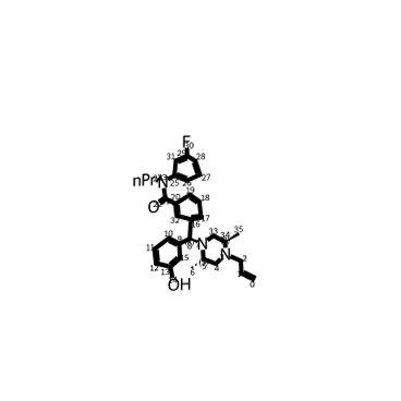 C=CCN1C[C@H](C)N([C@@H](c2cccc(O)c2)c2cccc(C(=O)N(CCC)c3cccc(F)c3)c2)C[C@H]1C